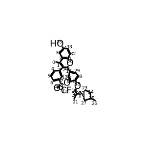 CC1=C(c2cccc(S(=O)(=O)C(F)(F)F)c2)C(c2ccc(OCC(C)N3CCC(C)C3)cc2)Oc2ccc(O)cc21